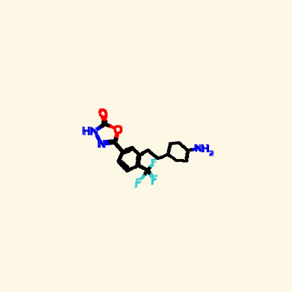 NC1CCC(CCc2cc(-c3n[nH]c(=O)o3)ccc2C(F)(F)F)CC1